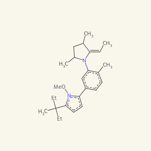 C/C=C1\C(C)CC(C)N1c1cc(-c2ccc(C(C)(CC)CC)n2OC)ccc1C